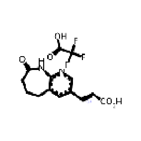 O=C(O)/C=C/c1cnc2c(c1)CCCC(=O)N2.O=C(O)C(F)(F)F